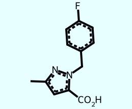 Cc1cc(C(=O)O)n(Cc2ccc(F)cc2)n1